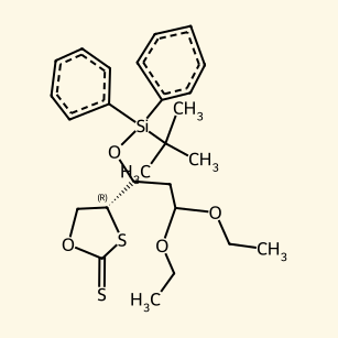 CCOC(CC(O[Si](c1ccccc1)(c1ccccc1)C(C)(C)C)[C@H]1COC(=S)S1)OCC